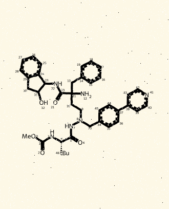 COC(=O)N[C@H](C(=O)NN(CCC(N)(Cc1ccccc1)C(=O)NC1c2ccccc2CC1O)Cc1ccc(-c2ccncc2)cc1)C(C)(C)C